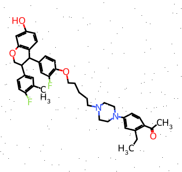 CCc1cc(N2CCN(CCCCCOc3ccc(C4c5ccc(O)cc5OCC4c4ccc(F)c(C)c4)cc3F)CC2)ccc1C(C)=O